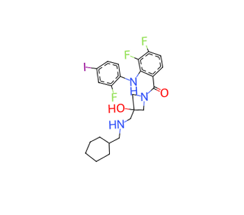 O=C(c1ccc(F)c(F)c1Nc1ccc(I)cc1F)N1CC(O)(CNCC2CCCCC2)C1